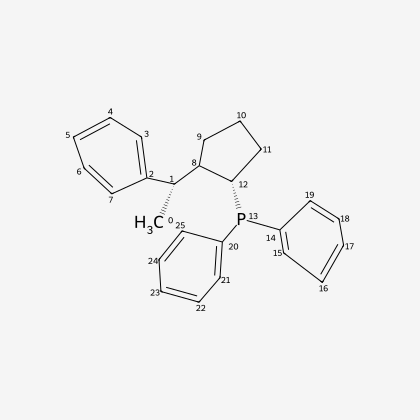 C[C@H](c1ccccc1)C1CCC[C@@H]1P(c1ccccc1)c1ccccc1